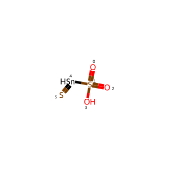 O=[S](=O)(O)[SnH]=[S]